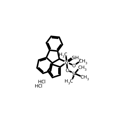 C[O][Zr]([CH3])(=[SiH2])([O][Si](C)(C)C)([C]1=CC=CC1)[CH]1c2ccccc2-c2ccccc21.Cl.Cl